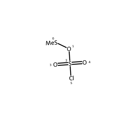 CSOS(=O)(=O)Cl